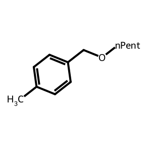 [CH2]CCCCOCc1ccc(C)cc1